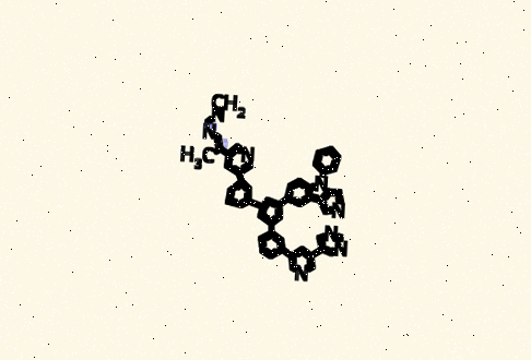 C=N/C=N\C=C(/C)c1cncc(-c2cccc(-c3cc(-c4cccc(-c5cncc(-c6cncnc6)c5)c4)cc(-c4ccc5c(c4)c4cnccc4n5-c4ccccc4)c3)c2)c1